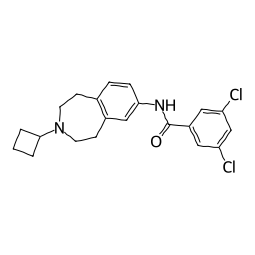 O=C(Nc1ccc2c(c1)CCN(C1CCC1)CC2)c1cc(Cl)cc(Cl)c1